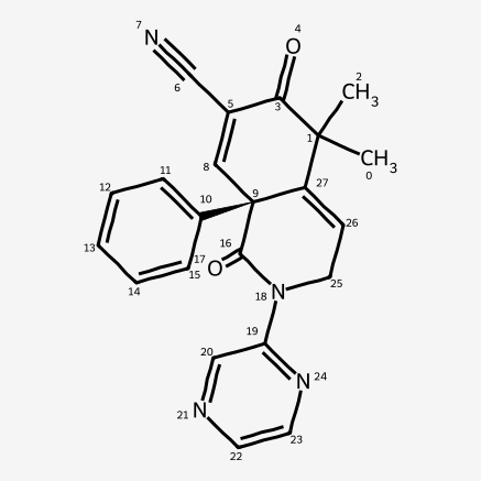 CC1(C)C(=O)C(C#N)=C[C@@]2(c3ccccc3)C(=O)N(c3cnccn3)CC=C12